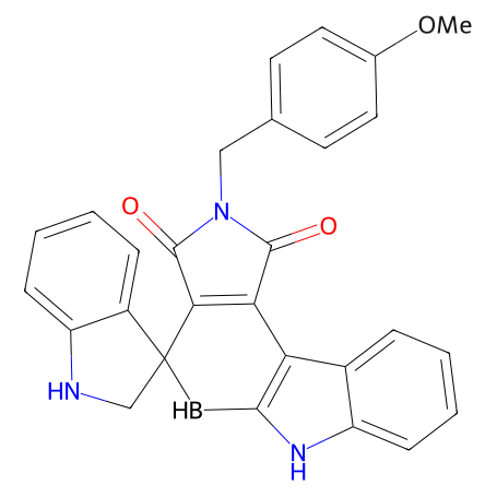 COc1ccc(CN2C(=O)C3=C(C2=O)C2(Bc4[nH]c5ccccc5c43)CNc3ccccc32)cc1